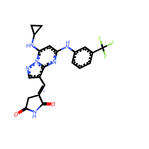 O=C1C/C(=C\c2cnn3c(NC4CC4)cc(Nc4cccc(C(F)(F)F)c4)nc23)C(=O)N1